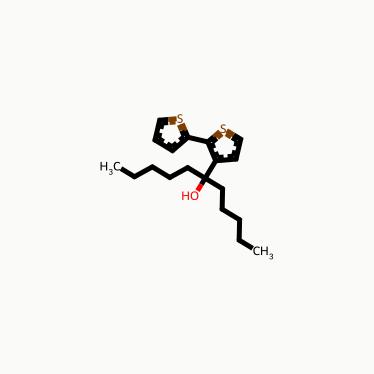 CCCCCC(O)(CCCCC)c1ccsc1-c1cccs1